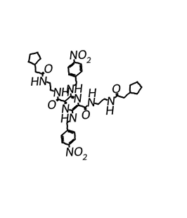 O=C(CC1CCCC1)NCCNC(=O)c1nc(NCc2ccc([N+](=O)[O-])cc2)c(C(=O)NCCNC(=O)CC2CCCC2)nc1NCc1ccc([N+](=O)[O-])cc1